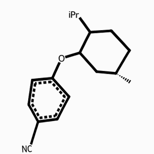 CC(C)C1CC[C@H](C)CC1Oc1ccc(C#N)cc1